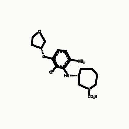 O=C(O)N1CCCC[C@@H](Nc2c([N+](=O)[O-])ccc(O[C@@H]3CCOC3)c2Cl)C1